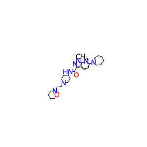 Cn1nc(C(=O)NC2CCN(CCN3CCCCO3)CC2)c2ccc(N3CCCCCC3)nc21